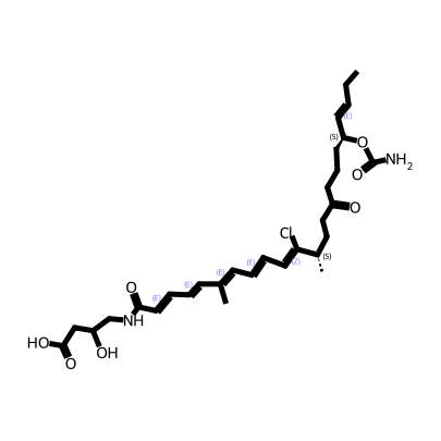 CC/C=C/[C@H](CCCC(=O)CC[C@H](C)/C(Cl)=C/C=C/C=C(C)/C=C/C=C/C(=O)NCC(O)CC(=O)O)OC(N)=O